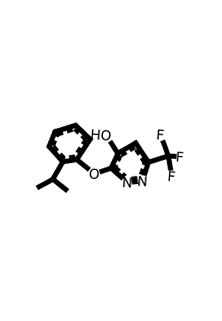 CC(C)c1ccccc1Oc1nnc(C(F)(F)F)cc1O